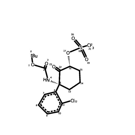 CC(C)(C)OC(=O)N[C@@]1(c2ccccc2Cl)CCC[C@@H](OS(=O)(=O)C(F)(F)F)C1=O